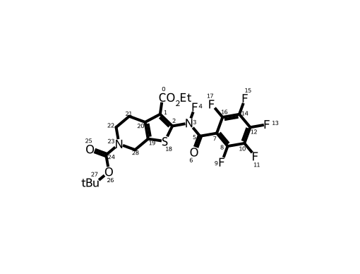 CCOC(=O)c1c(N(F)C(=O)c2c(F)c(F)c(F)c(F)c2F)sc2c1CCN(C(=O)OC(C)(C)C)C2